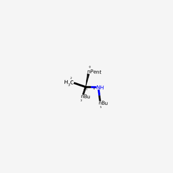 CCCCC[C@](C)(CCCC)NCCCC